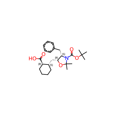 CC(C)(C)OC(=O)N1[C@@H](Cc2ccccc2)[C@@H](C[C@@H]2CCCC[C@H]2C(=O)O)OC1(C)C